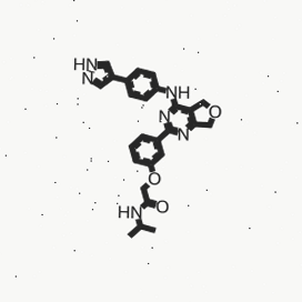 CC(C)NC(=O)COc1cccc(-c2nc3c(c(Nc4ccc(-c5cn[nH]c5)cc4)n2)COC3)c1